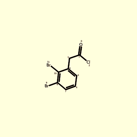 O=C(Cl)Cc1cccc(Br)c1Br